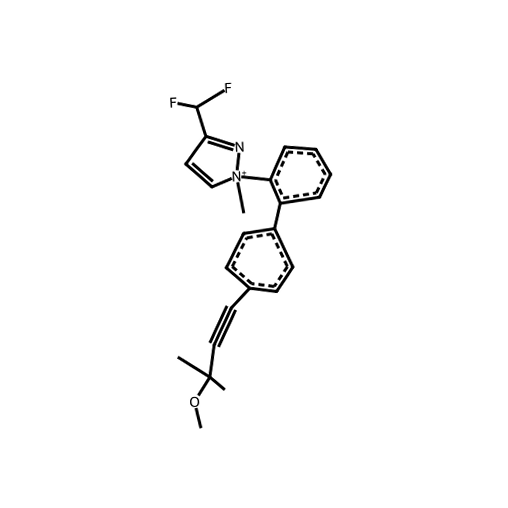 COC(C)(C)C#Cc1ccc(-c2ccccc2[N+]2(C)C=CC(C(F)F)=N2)cc1